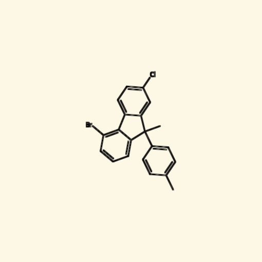 Cc1ccc(C2(C)c3cc(Cl)ccc3-c3c(Br)cccc32)cc1